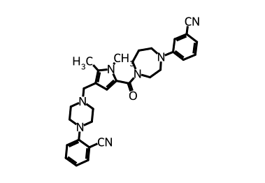 Cc1c(CN2CCN(c3ccccc3C#N)CC2)cc(C(=O)N2CCCN(c3cccc(C#N)c3)CC2)n1C